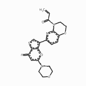 C=CC(=O)N1CCOc2ccc(-c3csc4c(=O)cc(N5CCOCC5)oc34)nc21